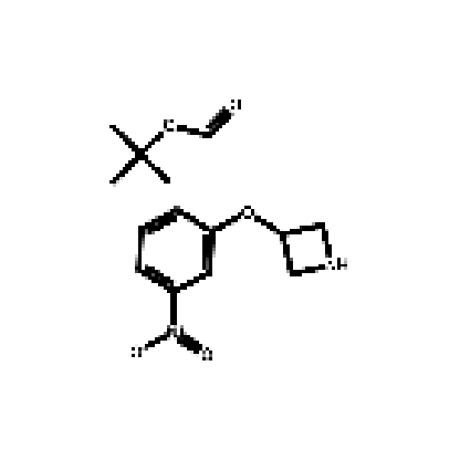 CC(C)(C)OC=O.O=[N+]([O-])c1cccc(OC2CNC2)c1